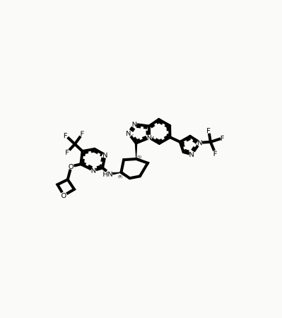 FC(F)(F)c1cnc(N[C@@H]2CCC[C@H](c3nnc4ccc(-c5cnn(C(F)(F)F)c5)cn34)C2)nc1OC1COC1